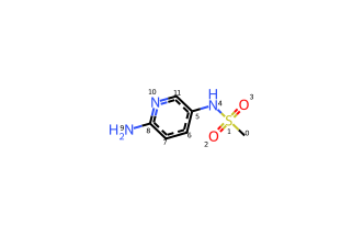 CS(=O)(=O)Nc1ccc(N)nc1